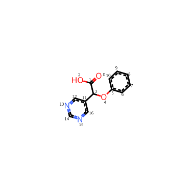 O=C(O)C(Oc1ccccc1)c1cncnc1